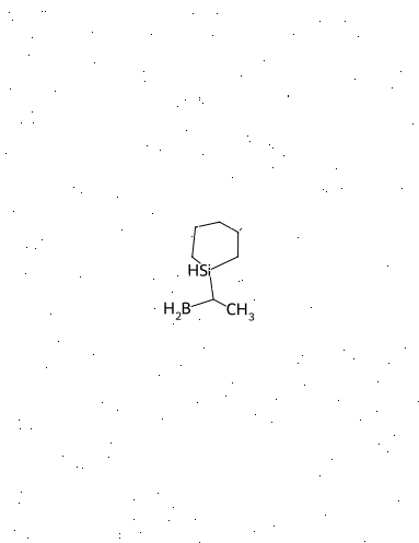 BC(C)[SiH]1CCCCC1